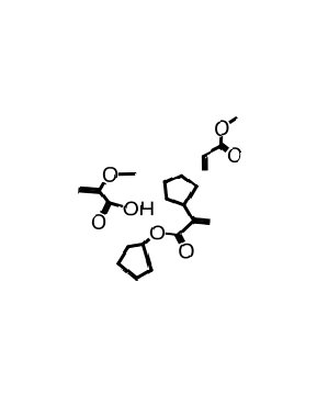 C=C(C(=O)OC1CCCC1)C1CCCC1.C=C(OC)C(=O)O.C=CC(=O)OC